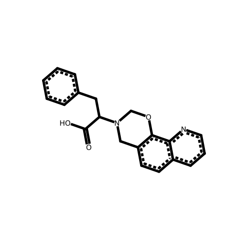 O=C(O)C(Cc1ccccc1)N1COc2c(ccc3cccnc23)C1